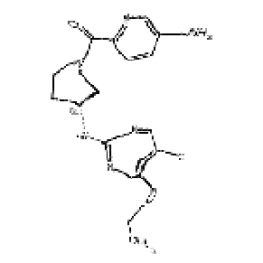 CCOc1nc(N[C@@H]2CCN(C(=O)c3ccc(N)cn3)C2)ncc1Cl